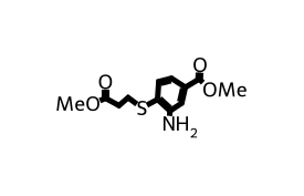 COC(=O)CCSc1ccc(C(=O)OC)cc1N